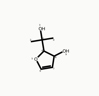 CC(C)(O)C1OC=CC1O